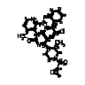 Cc1ccnc(C(C)C)c1-n1c(=O)nc(N2CCN(C(=O)[C@@H]3CO3)C[C@@H]2C)c2cc(Cl)c(-c3ccccc3F)nc21